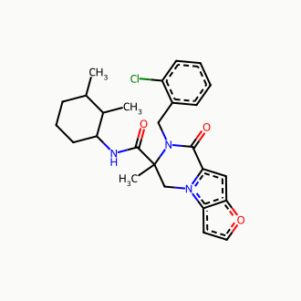 CC1CCCC(NC(=O)C2(C)Cn3c(cc4occc43)C(=O)N2Cc2ccccc2Cl)C1C